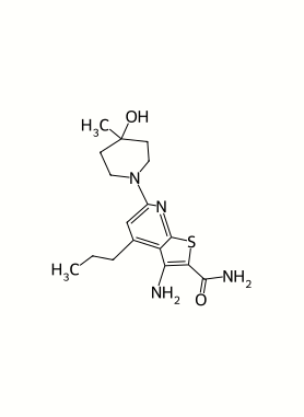 CCCc1cc(N2CCC(C)(O)CC2)nc2sc(C(N)=O)c(N)c12